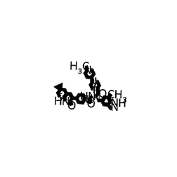 Cc1cc(C[C@@H](NC(=O)N2CCC(c3cc4c([nH]c3=O)SCC3(CC3)C4)CC2)C(=O)N2CCN(C3CCN(C)CC3)CC2)cc2cn[nH]c12